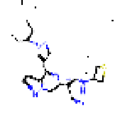 CCC(CC)n1cc(-c2nc(/C(C=N)=C/NC3CSC3)cn3nccc23)cn1